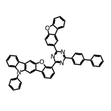 c1ccc(-c2ccc(-c3nc(-c4ccc5oc6ccccc6c5c4)nc(-c4cccc5c4oc4cc6c7ccccc7n(-c7ccccc7)c6cc45)n3)cc2)cc1